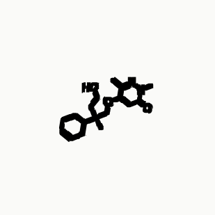 Cc1nn(C)c(=O)cc1OC[C@@](C)(CCO)C1C=CC=CC1